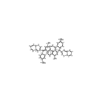 CC(C)c1cc(N(C2=CCC3C=CC=CC3=C2)c2ccc(C(C)(C)C)cc2)c2ccc3c(C(C)C)cc(N(C4=CCC5C=CC=CC5=C4)c4ccc(C(C)(C)C)cc4)c4ccc1c2c34